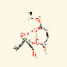 C=COC(=O)/C=C\C(=O)OC(=O)C(=C)O